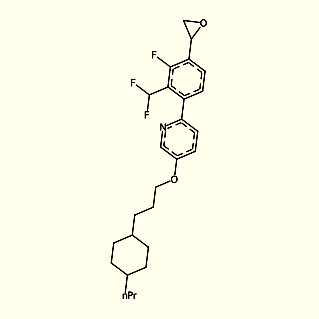 CCCC1CCC(CCCOc2ccc(-c3ccc(C4CO4)c(F)c3C(F)F)nc2)CC1